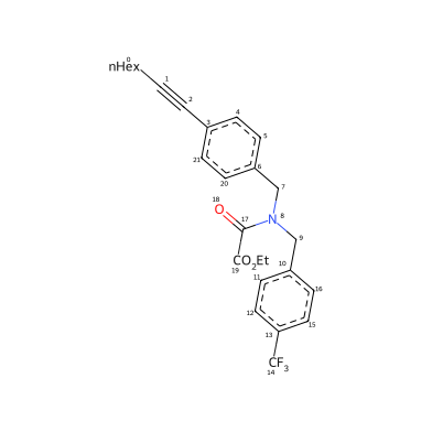 CCCCCCC#Cc1ccc(CN(Cc2ccc(C(F)(F)F)cc2)C(=O)C(=O)OCC)cc1